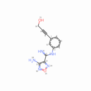 N=C(Nc1cccc(C#CCO)c1)c1nonc1N